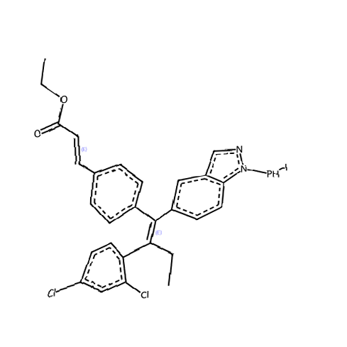 CCOC(=O)/C=C/c1ccc(/C(=C(/CC)c2ccc(Cl)cc2Cl)c2ccc3c(cnn3PI)c2)cc1